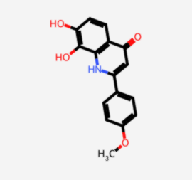 COc1ccc(-c2cc(=O)c3ccc(O)c(O)c3[nH]2)cc1